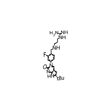 CC(C)(C)c1cc2cn(-c3ccc(CNCCCNC(=N)N)c(F)c3)c(=O)nc2[nH]1